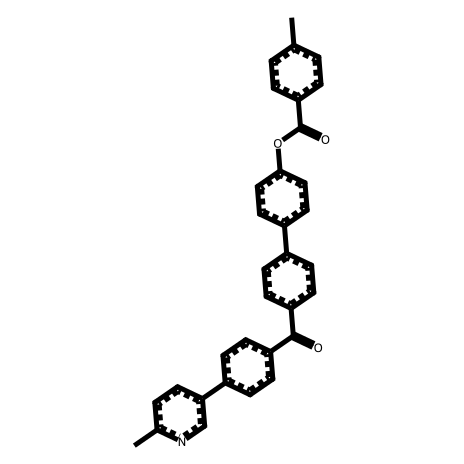 Cc1ccc(C(=O)Oc2ccc(-c3ccc(C(=O)c4ccc(-c5ccc(C)nc5)cc4)cc3)cc2)cc1